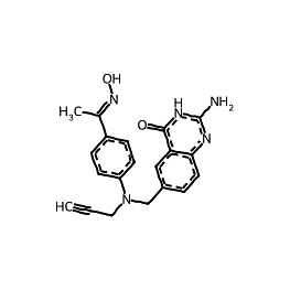 C#CCN(Cc1ccc2nc(N)[nH]c(=O)c2c1)c1ccc(C(C)=NO)cc1